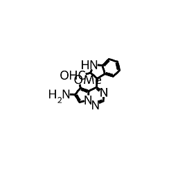 COc1c(N)cn2ncnc(C3c4ccccc4NC3C=O)c12